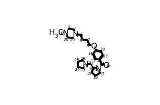 CN1CCN(CCCCOc2ccc(C(=O)N3CCC[C@H]3CN3CCCC3)cc2)CC1